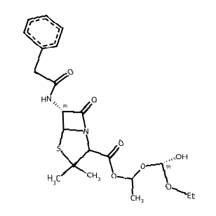 CCO[C@@H](O)OC(C)OC(=O)C1N2C(=O)[C@@H](NC(=O)Cc3ccccc3)C2SC1(C)C